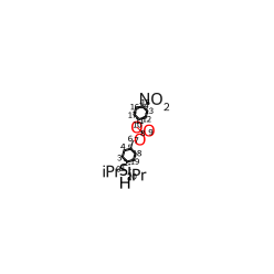 CC(C)[SiH](c1ccc(COC(=O)Oc2ccc([N+](=O)[O-])cc2)cc1)C(C)C